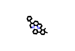 Cc1ccc(-c2ccccc2)c(-c2ccc3ccc4c(-c5ccccc5)ccnc4c3n2)c1C